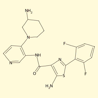 Nc1sc(-c2c(F)cccc2F)nc1C(=O)Nc1cnccc1N1CCCC(N)C1